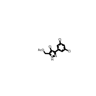 CC(=O)OCc1[nH]nc(-c2cc(Cl)cc(Cl)c2)c1Cl